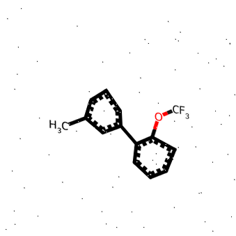 Cc1cccc(-c2ccccc2OC(F)(F)F)c1